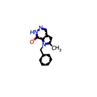 Cc1cc2cn[nH]c(=O)c2n1Cc1ccccc1